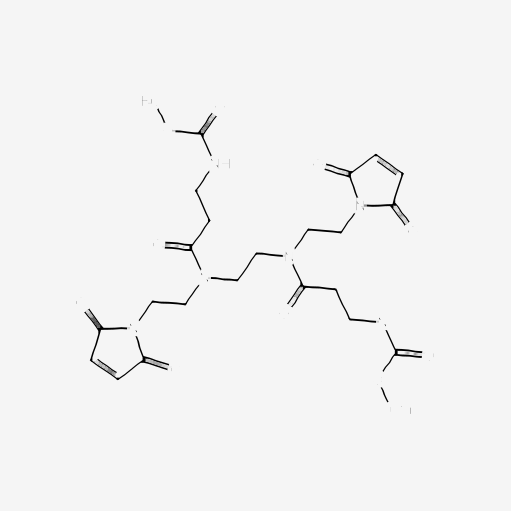 CC(C)(C)OC(=O)NCCC(=O)N(CCN(CCN1C(=O)C=CC1=O)C(=O)CCNC(=O)OC(C)(C)C)CCN1C(=O)C=CC1=O